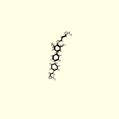 CC=CCOc1c(F)cc(-c2ccc([C@H]3CC[C@H](CCC)CC3)cc2)cc1F